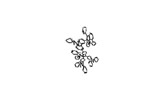 O=c1c2ccccc2c2cccc3c(-c4ccccc4)c(-c4ccc5c(c4)c4cc(-c6ccc7c(-c8ccc9c(c8)c8ccccc8n9-c8ccccc8)c(-c8ccc9c(c8)c8ccccc8n9-c8ccccc8)n8c(=O)c9ccccc9c6c78)ccc4n5-c4ccccc4)n1c32